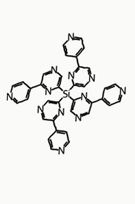 c1cc(-c2cncc([Si](c3cncc(-c4ccncc4)n3)(c3cncc(-c4ccncc4)n3)c3cncc(-c4ccncc4)n3)n2)ccn1